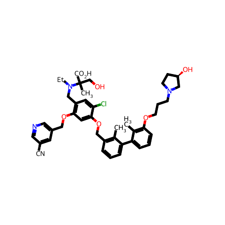 CCN(Cc1cc(Cl)c(OCc2cccc(-c3cccc(OCCCN4CC[C@@H](O)C4)c3C)c2C)cc1OCc1cncc(C#N)c1)C(C)(CO)C(=O)O